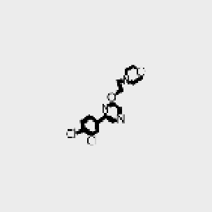 Clc1ccc(-c2cncc(OCCN3CCOCC3)n2)cc1Cl